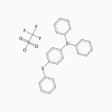 O=S(=O)([O-])C(F)(F)F.c1ccc(Sc2ccc([S+](c3ccccc3)c3ccccc3)cc2)cc1